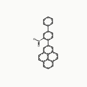 O=[N+]([O-])c1cc(-c2ccccc2)ccc1-c1cc2ccc3cccc4ccc(c1)c2c34